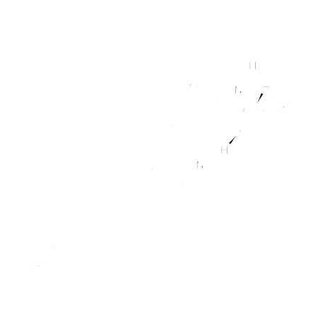 CN1C(=O)C(c2ccc(C#Cc3ccc(F)cc3)cn2)[C@H]2CCCC[C@H]21